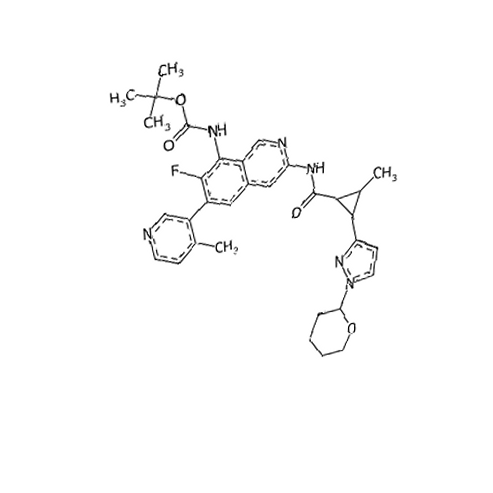 Cc1ccncc1-c1cc2cc(NC(=O)C3C(C)C3c3ccn(C4CCCCO4)n3)ncc2c(NC(=O)OC(C)(C)C)c1F